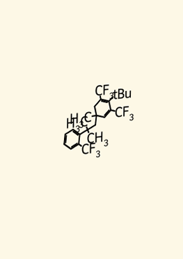 CC1(CC(C)(C)c2ccccc2C(F)(F)F)C=C(C(F)(F)F)C(C(C)(C)C)=C(C(F)(F)F)C1